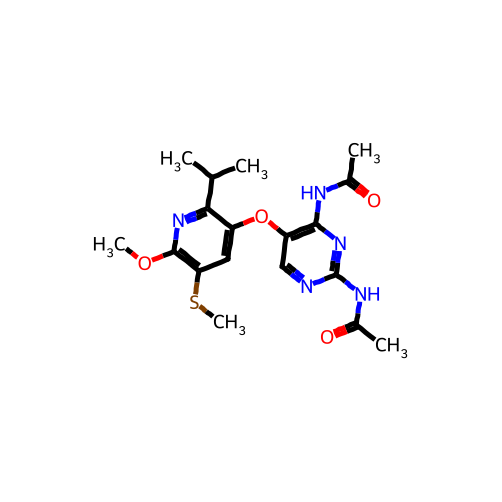 COc1nc(C(C)C)c(Oc2cnc(NC(C)=O)nc2NC(C)=O)cc1SC